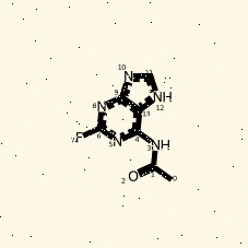 CC(=O)Nc1nc(F)nc2nc[nH]c12